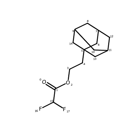 O=C(OCCC12CC3CC(CC(C3)C1)C2)C(F)F